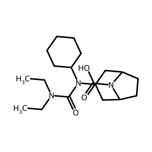 CCN(CC)C(=O)N(C1CCCCC1)C1CC2CCC(C1)N2C(=O)O